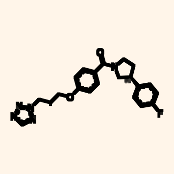 O=C(c1ccc(OC[CH]Cn2ncnn2)cc1)N1CC[C@@H](c2ccc(F)cc2)C1